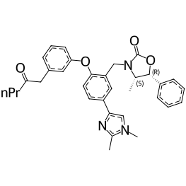 CCCC(=O)Cc1cccc(Oc2ccc(-c3cn(C)c(C)n3)cc2CN2C(=O)O[C@H](c3ccccc3)[C@@H]2C)c1